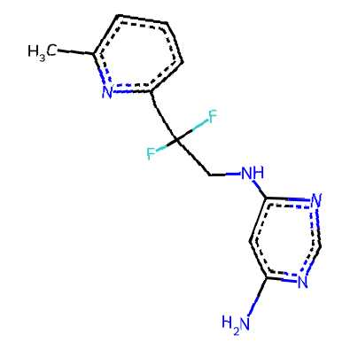 Cc1cccc(C(F)(F)CNc2cc(N)ncn2)n1